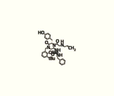 C=CCNCC(=O)N1[C@@H](NC(=O)NCc2ccccc2)CN(Cc2cccc(C(C)(C)C)c2OC)C(=O)[C@@H]1Cc1ccc(O)cc1